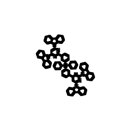 c1ccc([Si](c2ccccc2)(c2cccc(-c3cc(-n4c5ccccc5c5ccccc54)nc(-n4c5ccccc5c5ccccc54)n3)c2)c2cccc(-c3nc(-n4c5ccccc5c5ccccc54)cc(-n4c5ccccc5c5ccccc54)n3)c2)cc1